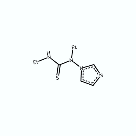 CCNC(=S)N(CC)n1ccnc1